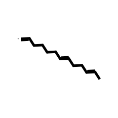 [CH]=CCCCCC=CCCC=CC